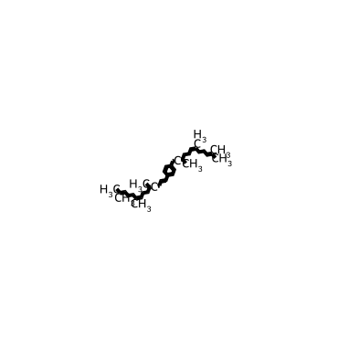 CC(=C=CC=Cc1ccc(C=C=C(C)CCC=C(C)CCC=C(C)C)cc1)CCC=C(C)CCC=C(C)C